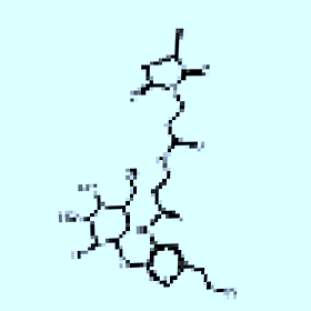 CC(C)CCc1ccc(OC2OC(CO)C(O)C(O)C2O)c(NC(=O)CCNC(=O)CCN2C(=O)CC(C(C)C)C2=O)c1